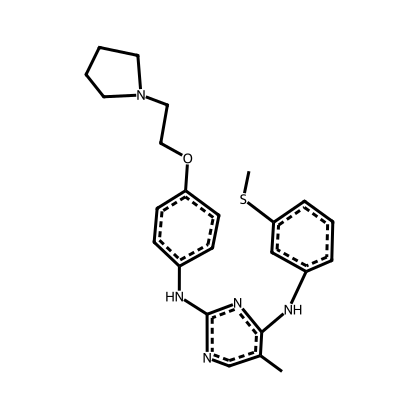 CSc1cccc(Nc2nc(Nc3ccc(OCCN4CCCC4)cc3)ncc2C)c1